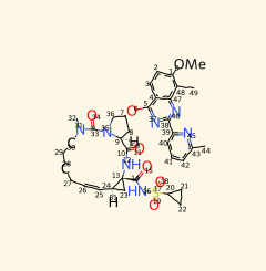 COc1ccc2c(O[C@@H]3C[C@H]4C(=O)N[C@]5(C(=O)NS(=O)(=O)C6CC6)C[C@H]5/C=C\CCCCN(C)C(=O)N4C3)nc(-c3cccc(C)n3)nc2c1C